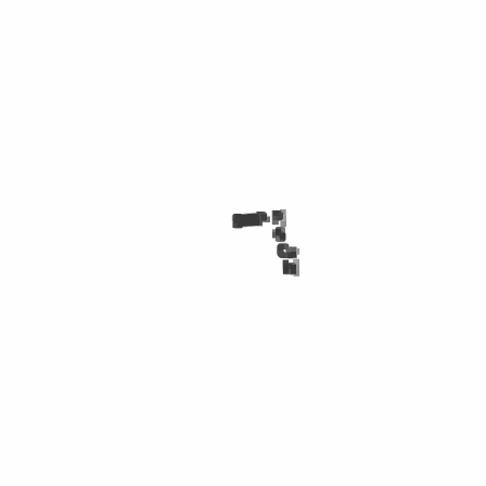 [Cu].[In].[P].[P]=S.[S]